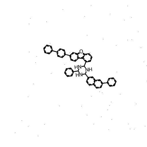 c1ccc(-c2ccc(-c3ccc4c(c3)oc3cccc(C5NC(c6ccccc6)NC(c6ccc7ccc(-c8ccccc8)cc7c6)N5)c34)cc2)cc1